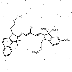 CCCCCCCCCCC1(CCCCCCCCCC)C(/C=C/C(C#N)=C/C=C2/N(CCOC=O)c3ccc4ccccc4c3C2(C)C)=[N+](CCC(=O)O)c2ccc(OC)cc21